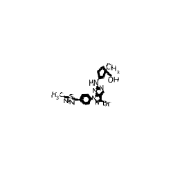 Cc1nnc(-c2[c]cc(-n3nc(Br)c4cnc(N[C@@H]5CC[C@@](C)(CO)C5)nc43)cc2)s1